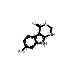 O=C1NCNc2[nH]c3cc(Br)ccc3c21